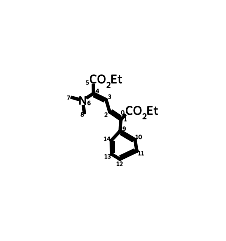 CCOC(=O)C(=CC=C(C(=O)OCC)N(C)C)c1ccccc1